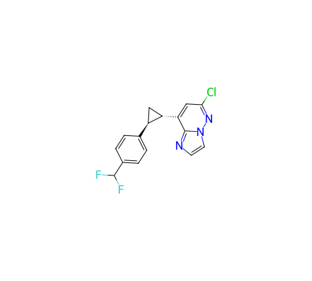 FC(F)c1ccc([C@H]2C[C@@H]2c2cc(Cl)nn3ccnc23)cc1